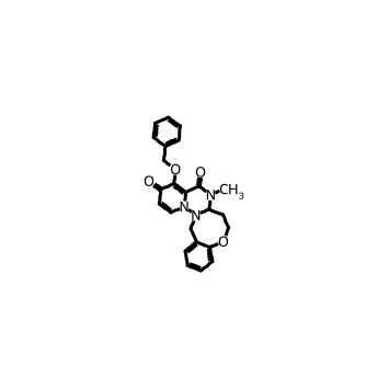 CN1C(=O)c2c(OCc3ccccc3)c(=O)ccn2N2Cc3ccccc3OCCC12